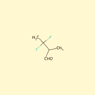 CC(C=O)C(C)(F)F